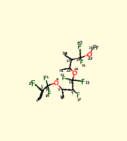 C=C(F)C(F)(F)OC(C)C(F)C(F)(F)OC(C)C(C)C(F)(F)OC(C)C